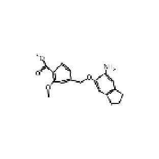 COC(=O)c1ccc(COc2cc3c(cc2N)CCC3)cc1OC